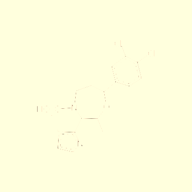 CC1OC(c2ccc(Cl)c(Cl)c2)CCN(C(=O)O)C1c1nccs1